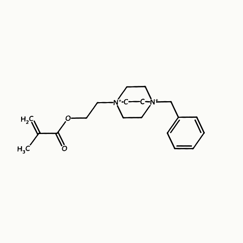 C=C(C)C(=O)OCC[N+]12CC[N+](Cc3ccccc3)(CC1)CC2